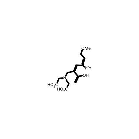 C=C(O)/C(=C\C(=C/COC)CCC)CN(CC(=O)O)CC(=O)O